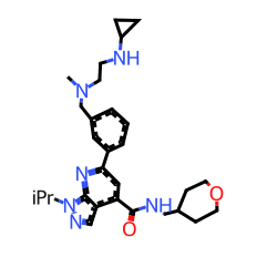 CC(C)n1ncc2c(C(=O)NCC3CCOCC3)cc(-c3cccc(CN(C)CCNC4CC4)c3)nc21